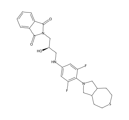 O=C1c2ccccc2C(=O)N1C[C@H](O)CNc1cc(F)c(N2CC3CCSCCC3C2)c(F)c1